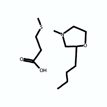 CCCCC1CN(C)CCO1.CSCCC(=O)O